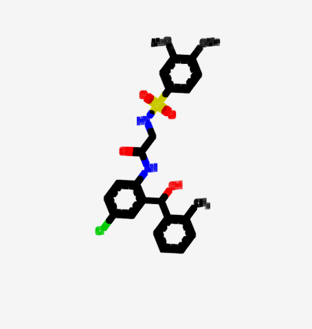 COc1ccc(S(=O)(=O)NCC(=O)Nc2ccc(Cl)cc2C(O)c2ccccc2C)cc1OC